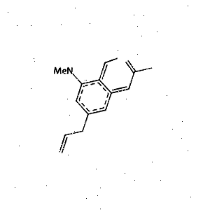 C=CCc1cc(NC)c(=C/C)/c(=C\C(=C)C)c1